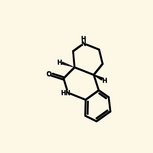 O=C1Nc2ccccc2[C@H]2CCNC[C@H]12